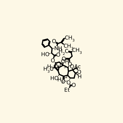 C=C(C)CC(=O)O[C@H]1C2[C@](C)(C(=O)[C@H](O)C3=C(C)[C@@H](OC(=O)[C@H](O)[C@@H](NC(=O)/C(C)=C/C)c4ccccc4)C[C@]1(O)C3(C)C)[C@@H](OC(=O)CC)C[C@H]1OC[C@@]21OC(C)=O